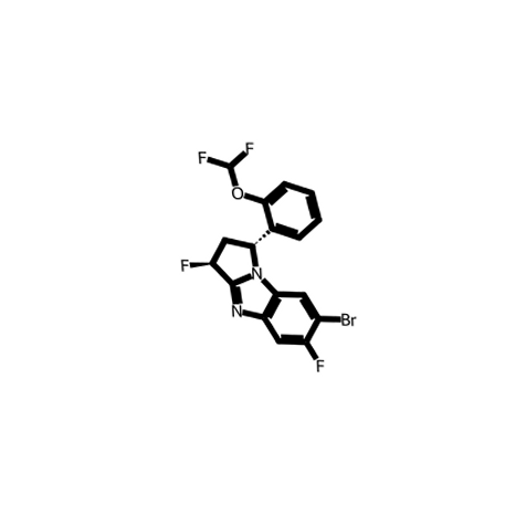 Fc1cc2nc3n(c2cc1Br)[C@@H](c1ccccc1OC(F)F)C[C@@H]3F